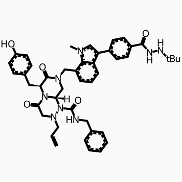 C=CCN1CC(=O)N2[C@@H](Cc3ccc(O)cc3)C(=O)N(Cc3cccc4c(-c5ccc(C(=O)NNC(C)(C)C)cc5)cn(C)c34)C[C@@H]2N1C(=O)NCc1ccccc1